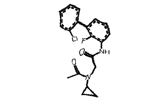 CC(=O)N(CC(=O)Nc1cccc(-c2ccccc2Cl)c1F)C1CC1